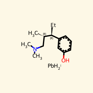 CC[C@@H](c1cccc(O)c1)[C@@H](C)CN(C)C.[PbH2]